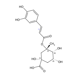 C[C@]1(OC(=O)/C=C/c2ccc(O)c(O)c2)C[C@](O)(C(=O)O)C[C@@H](O)[C@H]1O